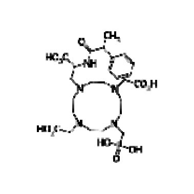 CC(C(=O)NC(CN1CCN(CC(=O)O)CCN(CP(=O)(O)O)CCN(CC(=O)O)CC1)C(=O)O)c1ccccc1